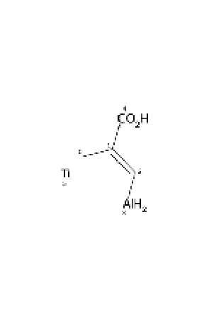 CC(=[CH][AlH2])C(=O)O.[Ti]